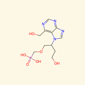 O=P(O)(O)COCC(CCO)n1cnc2ncnc(CO)c21